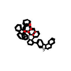 c1ccc(-c2ccccc2N(c2cccc(-c3ccc4c(c3)sc3ccc5ccccc5c34)c2-c2ccccc2)c2cccc3c2C2(c4ccccc4-c4ccccc42)c2ccccc2-3)cc1